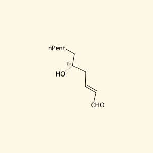 CCCCCC[C@@H](O)CC=CC=O